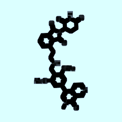 COc1cc(-c2cn(C)c(=O)c3cnccc23)cc(OC)c1CNCCc1cccc2c1C(=O)N(C1CCC(=O)NC1=O)C2=O